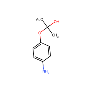 CC(=O)OC(C)(O)Oc1ccc(N)cc1